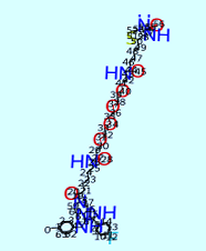 Cc1ccc(NC2=C(c3ccc(F)cc3)NC3CN(C(=O)CCCCCNC(=O)CCOCCOCCOCCOCCNC(=O)CCCCC4SCC5NC(=O)NC54)CCN23)cc1